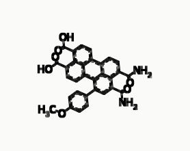 COc1ccc(-c2cc(C(N)=O)c3c(C(N)=O)ccc4c5ccc(C(=O)O)c6c(C(=O)O)ccc(c2c34)c65)cc1